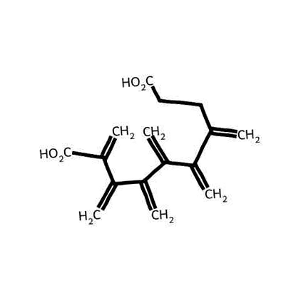 C=C(CCC(=O)O)C(=C)C(=C)C(=C)C(=C)C(=C)C(=O)O